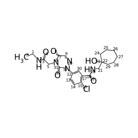 CCNC(=O)Cn1c(=O)cnn(-c2ccc(Cl)c(C(=O)NCC3(O)CCCCCC3)c2)c1=O